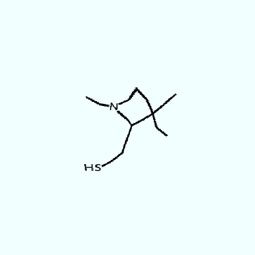 CN1CC(C)(C)C1CS